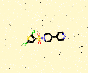 O=S(=O)(c1cc(Cl)sc1Cl)N1CCC(c2ccncc2)CC1